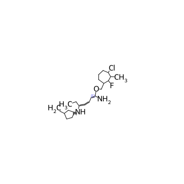 C=CC1CC[C@@H](NC(=C=C/C=C(\N)OCC2CCCC(Cl)C(C)C2F)CC)C1